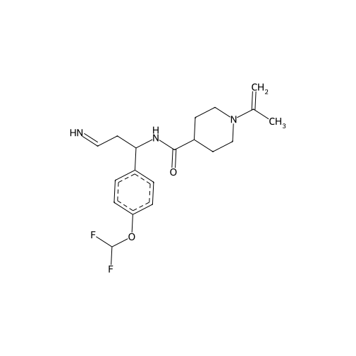 C=C(C)N1CCC(C(=O)NC(CC=N)c2ccc(OC(F)F)cc2)CC1